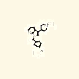 COc1ccc(C(=O)n2cc(C3=CCN(C)CC3)c3cccnc32)cc1